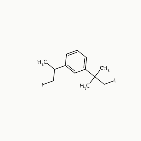 CC(CI)c1cccc(C(C)(C)CI)c1